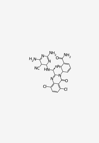 CCC[C@H](NC1N=C(N)N=C(N)C1C#N)c1nc2c(Cl)ccc(Cl)c2c(=O)n1C1C=CC=C(C(N)=O)C1